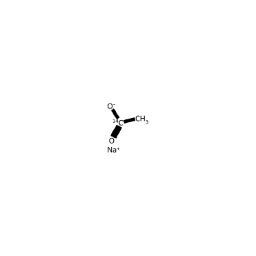 C[14C](=O)[O-].[Na+]